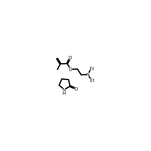 C=C(C)C(=O)OCCN(CC)CC.O=C1CCCN1